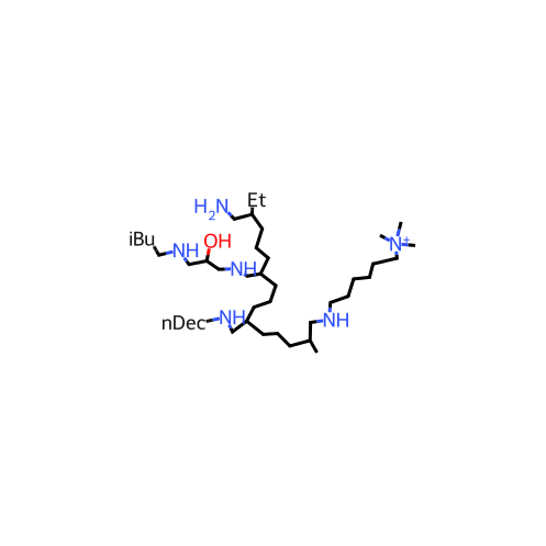 CCCCCCCCCCNCC(CCCC(C)CNCCCCCC[N+](C)(C)C)CCCC(CCCC(CC)CN)CNCC(O)CNCC(C)CC